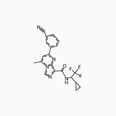 Cc1cc(-c2cccc(C#N)c2)nc2c(C(=O)NC(C3CC3)C(F)(F)F)ncn12